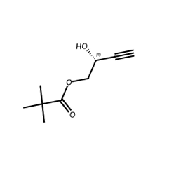 C#C[C@@H](O)COC(=O)C(C)(C)C